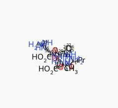 CC(C)C[C@H](N)C(=O)N[C@@H](C)C(=O)N[C@@H](CCC(=O)O)C(=O)N[C@@H](Cc1c[nH]c2ccccc12)C(=O)N[C@@H](CCCNC(=N)N)C(=O)O